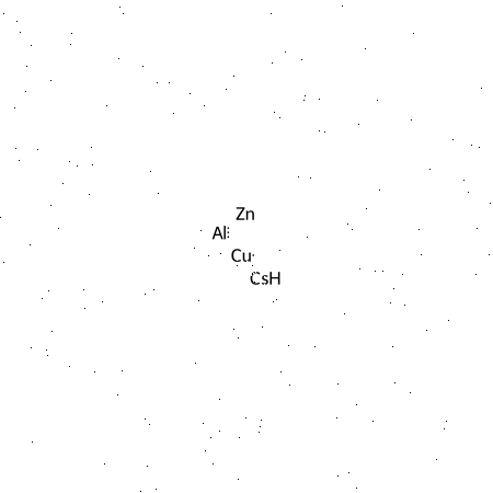 [Al].[CsH].[Cu].[Zn]